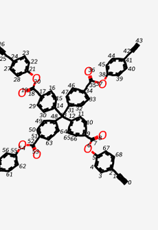 C#Cc1ccc(OC(=O)c2ccc(C(c3ccc(C(=O)Oc4ccc(C#C)cc4)cc3)(c3ccc(C(=O)Oc4ccc(C#C)cc4)cc3)c3ccc(C(=O)Oc4ccc(C#C)cc4)cc3)cc2)cc1